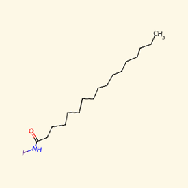 CCCCCCCCCCCCCCCCC(=O)NI